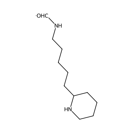 O=[C]NCCCCCC1CCCCN1